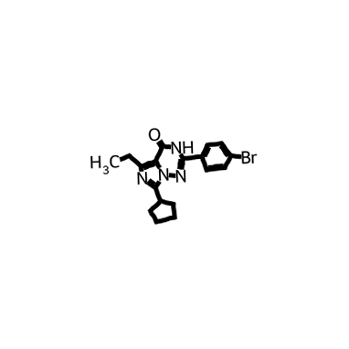 CCc1nc(C2CCCC2)n2nc(-c3ccc(Br)cc3)[nH]c(=O)c12